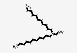 [CH2]CN(CCCCCCCCCCC)CCCCCCCCCCC